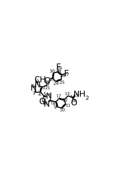 Cn1ncc(-c2nc(-c3cccc(CC(N)=O)c3)no2)c1COc1ccc(F)c(F)c1